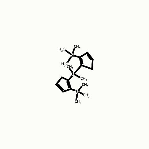 C[Si](C)(C)C1=[C]([Ti]([CH3])([CH3])[C]2=C([Si](C)(C)C)C=CC2)CC=C1